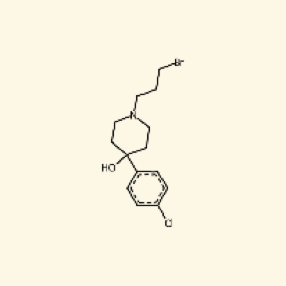 OC1(c2ccc(Cl)cc2)CCN(CCCBr)CC1